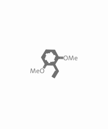 C=Cc1c(OC)cccc1OC